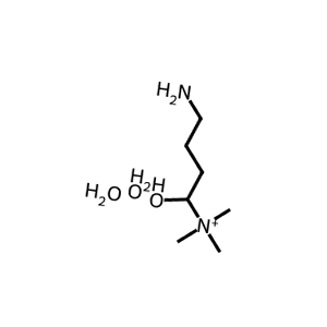 C[N+](C)(C)C(O)CCCN.O.O